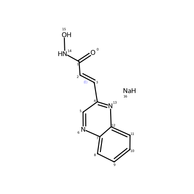 O=C(/C=C/c1cnc2ccccc2n1)NO.[NaH]